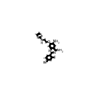 Nc1cc2c(N)nc(-c3ccc(Br)cc3F)nc2cc1OCCNc1nccs1